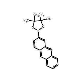 CC1(C)OB(c2ccc3cc4ccccc4nc3c2)OC1(C)C